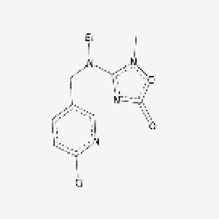 CCN(Cc1ccc(Cl)nc1)c1nc(=O)on1C